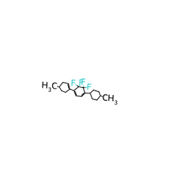 CC1CC=C(C2=CC=C(C3CCC(C)CC3)C(F)(F)C2(F)F)CC1